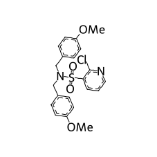 COc1ccc(CN(Cc2ccc(OC)cc2)S(=O)(=O)c2cccnc2Cl)cc1